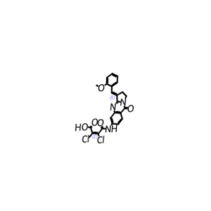 COc1ccccc1/C=C1\CCn2c1nc1cc(NC(=O)/C(Cl)=C(/Cl)C(=O)O)ccc1c2=O